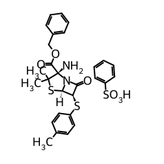 Cc1ccc(S[C@@H]2C(=O)N3[C@@H]2SC(C)(C)[C@]3(N)C(=O)OCc2ccccc2)cc1.O=S(=O)(O)c1ccccc1